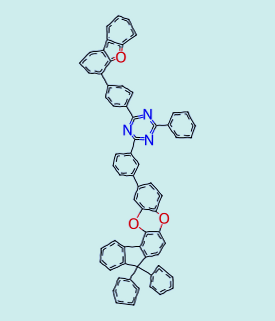 c1ccc(-c2nc(-c3ccc(-c4cccc5c4oc4ccccc45)cc3)nc(-c3cccc(-c4ccc5c(c4)Oc4c(ccc6c4-c4ccccc4C6(c4ccccc4)c4ccccc4)O5)c3)n2)cc1